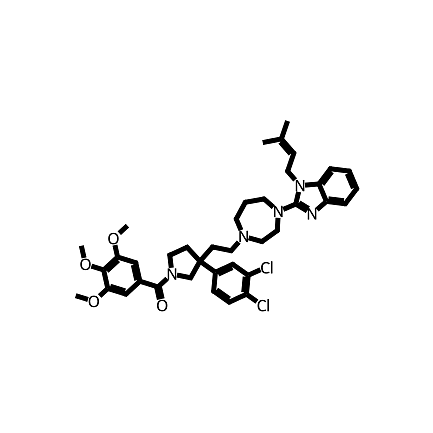 COc1cc(C(=O)N2CCC(CCN3CCCN(c4nc5ccccc5n4CC=C(C)C)CC3)(c3ccc(Cl)c(Cl)c3)C2)cc(OC)c1OC